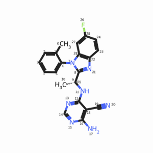 Cc1ccccc1-n1c([C@@H](C)Nc2ncnc(N)c2C#N)nc2ccc(F)cc21